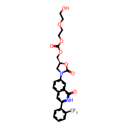 O=C(OCCOCCO)OC[C@@H]1CN(c2ccc3cc(-c4ccccc4C(F)(F)F)[nH]c(=O)c3c2)C(=O)O1